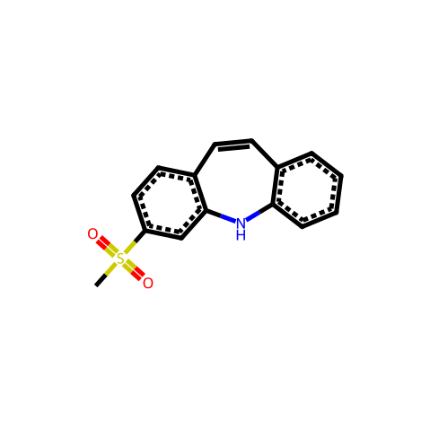 CS(=O)(=O)c1ccc2c(c1)Nc1ccccc1C=C2